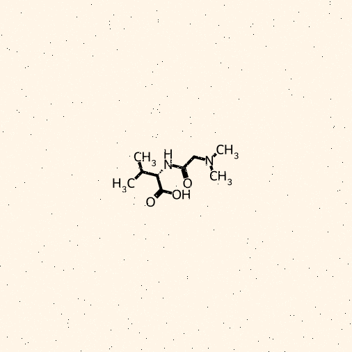 CC(C)[C@H](NC(=O)CN(C)C)C(=O)O